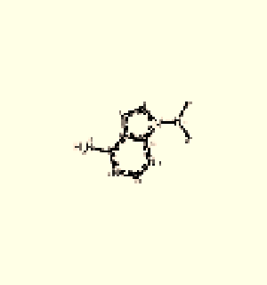 CN(C)n1ccc2c(N)ncnc21